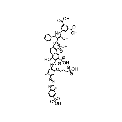 Cc1cc(N=Nc2c(S(=O)(=O)O)cc3c(S(=O)(=O)O)c(N=Nc4c(-c5ccccc5)nn(-c5cc(C(=O)O)cc(C(=O)O)c5)c4O)ccc3c2O)c(OCCCS(=O)(=O)O)cc1N=Nc1nc2ccc(S(=O)(=O)O)cc2s1